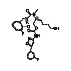 CN(C(=O)NCc1cccc(F)c1Cl)[C@@H](CCCCO)COC(=O)Nc1cc(-c2cccc(F)c2)on1